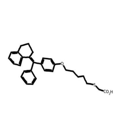 O=C(O)CSCCCCCOc1ccc(/C(=C2\CCCc3ccccc32)c2ccccc2)cc1